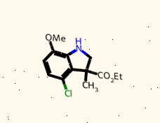 CCOC(=O)C1(C)CNc2c(OC)ccc(Cl)c21